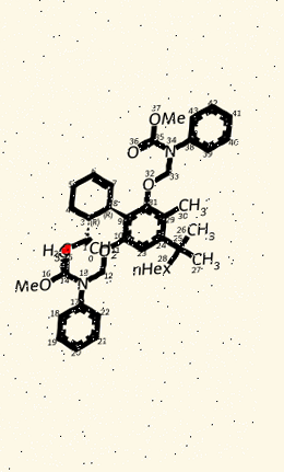 C=C(C)[C@@H]1CCC=C[C@H]1c1c(OCN(C(=O)OC)c2ccccc2)cc(C(C)(C)CCCCCC)c(C)c1OCN(C(=O)OC)c1ccccc1